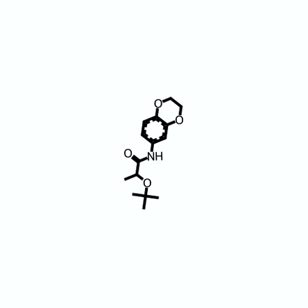 CC(OC(C)(C)C)C(=O)Nc1ccc2c(c1)OCCO2